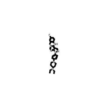 CCN(CC)C1CCN(c2ccc(-n3ncc4c(Nc5ccc(F)cc5C)ncnc43)cc2)CC1